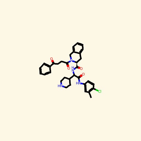 Cc1cc(NC(=O)C(NC(=O)[C@@H]2Cc3ccccc3CN2C(=O)CCC(=O)c2ccccc2)C2CCNCC2)ccc1Cl